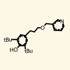 CC(C)(C)c1cc(CCCOCc2cccnc2)cc(C(C)(C)C)c1O